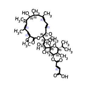 CO/C1=C\C(C)=C\[C@@H](C)[C@@H](O)[C@@H](C)C/C(C)=C/C=C/[C@H](OC)[C@@H]([C@@H](C)[C@@H](O)[C@H](C)[C@@]2(O)C[C@@H](OC(=O)/C=C/C(=O)O)[C@H](C)[C@@H](C(C)C)O2)OC1=O